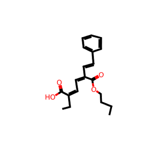 CCCCOC(=O)C(C=Cc1ccccc1)=CC=C(CC)C(=O)O